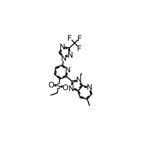 CCS(=O)(=O)c1ccc(-n2cnc(C(F)(F)F)n2)nc1-c1nc2cc(C)cnc2n1C